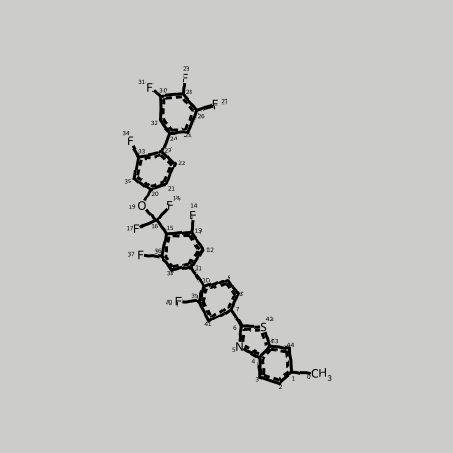 Cc1ccc2nc(-c3ccc(-c4cc(F)c(C(F)(F)Oc5ccc(-c6cc(F)c(F)c(F)c6)c(F)c5)c(F)c4)c(F)c3)sc2c1